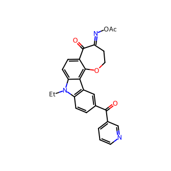 CCn1c2ccc(C(=O)c3cccnc3)cc2c2c3c(ccc21)C(=O)/C(=N/OC(C)=O)CCO3